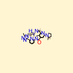 CCCn1c(C)nnc1-c1cccc(N2Cc3c(cc(N4CCC[C@H]4C)nc3[C@@H](C)N)C2=O)n1